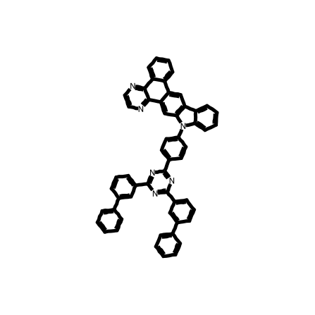 c1ccc(-c2cccc(-c3nc(-c4ccc(-n5c6ccccc6c6cc7c8ccccc8c8nccnc8c7cc65)cc4)nc(-c4cccc(-c5ccccc5)c4)n3)c2)cc1